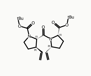 C=C[C@H]1CCN(C(=O)OC(C)(C)C)[C@@H]1C(=O)N1[C@@H](C=C)CC[C@H]1C(=O)OC(C)(C)C